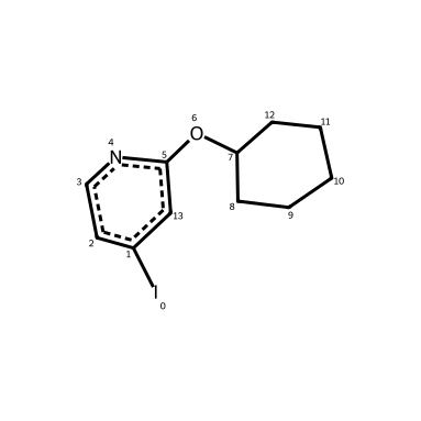 Ic1ccnc(OC2CCCCC2)c1